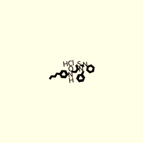 CCCCc1ccc(NC(=O)CC2CSC(=NC3CCCCC3)N2Cc2ccccc2)cc1.Cl